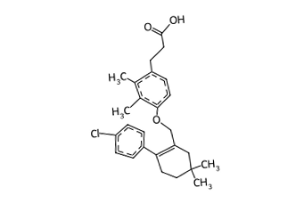 Cc1c(CCC(=O)O)ccc(OCC2=C(c3ccc(Cl)cc3)CCC(C)(C)C2)c1C